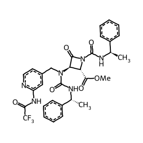 COC(=O)[C@@H]1[C@@H](N(Cc2ccnc(NC(=O)C(F)(F)F)c2)C(=O)N[C@H](C)c2ccccc2)C(=O)N1C(=O)N[C@H](C)c1ccccc1